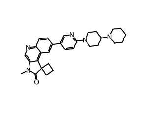 CN1C(=O)C2(CCC2)c2c1cnc1ccc(-c3ccc(N4CCC(N5CCCCC5)CC4)nc3)cc21